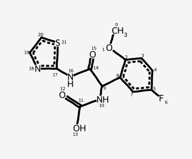 COc1ccc(F)cc1C(NC(=O)O)C(=O)Nc1nccs1